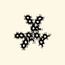 Cc1ccc2c(c1)c1cc(C)ccc1n2-c1cc2c3c(c1)-n1c(C)c(C)c4c(N(c5ccc6ccccc6c5)c5ccc6ccccc6c5)ccc(c41)B3c1ccc(N(c3ccc4ccccc4c3)c3ccc4ccccc4c3)c3c(C)c(C)n-2c13